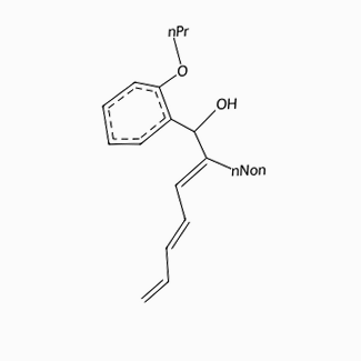 C=CC=CC=C(CCCCCCCCC)C(O)c1ccccc1OCCC